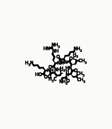 CC[C@H](C)[C@H](NC(=O)[C@H](CCCNC(=N)N)NC(=O)[C@@H](CCCCN)NC(=O)[C@H](CC(C)C)NC(=O)[C@H](CC(C)C)NC(=O)CN)C(=O)N[C@H](CCCCN)C(=O)O